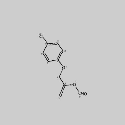 O=COC(=O)COc1ccc(Cl)cc1